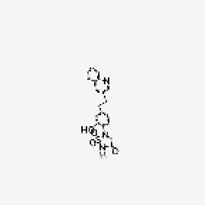 O=C1CN(c2ccc(CCc3cnc4ccccc4c3)cc2O)S(=O)(=O)N1